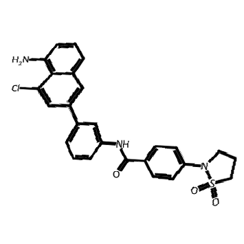 Nc1cccc2cc(-c3cccc(NC(=O)c4ccc(N5CCCS5(=O)=O)cc4)c3)cc(Cl)c12